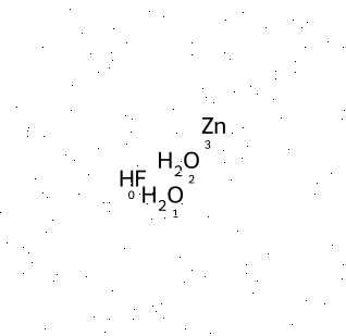 F.O.O.[Zn]